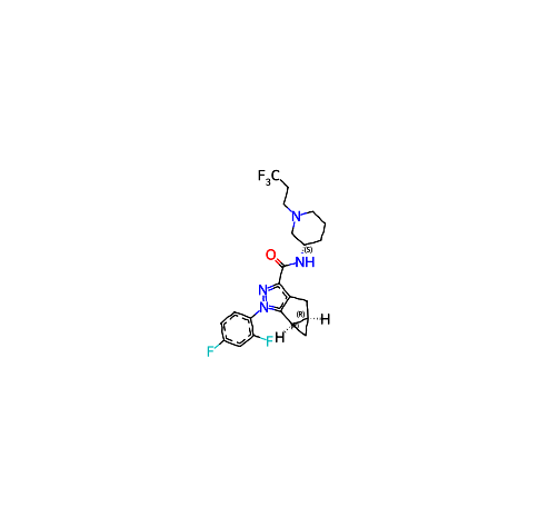 O=C(N[C@H]1CCCN(CCC(F)(F)F)C1)c1nn(-c2ccc(F)cc2F)c2c1C[C@H]1C[C@@H]21